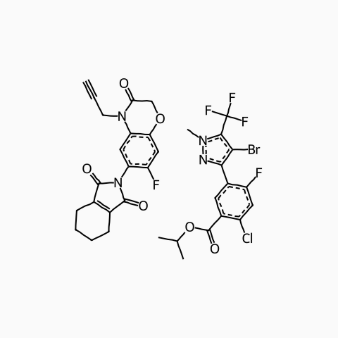 C#CCN1C(=O)COc2cc(F)c(N3C(=O)C4=C(CCCC4)C3=O)cc21.CC(C)OC(=O)c1cc(-c2nn(C)c(C(F)(F)F)c2Br)c(F)cc1Cl